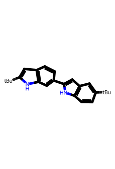 CC(C)(C)c1ccc2[nH]c(-c3ccc4cc(C(C)(C)C)[nH]c4c3)cc2c1